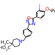 CC(C)Oc1ccc(-c2nc(-c3ccc(CN4CCC(C)(C(=O)O)CC4)cc3)no2)cc1I